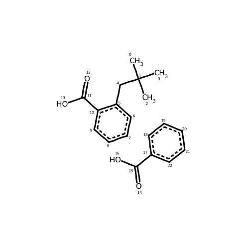 CC(C)(C)Cc1ccccc1C(=O)O.O=C(O)c1ccccc1